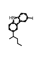 CCCC(C)c1ccc2[nH]c3ccc(I)cc3c2c1